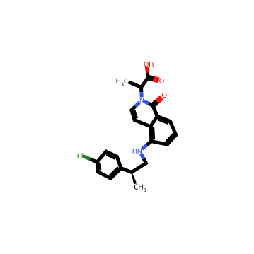 CC(C(=O)O)n1ccc2c(NC[C@@H](C)c3ccc(Cl)cc3)cccc2c1=O